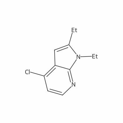 CCc1cc2c(Cl)ccnc2n1CC